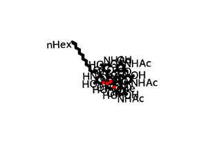 CCCCCC/C=C\CCCCCCCCCC(=O)N[C@@H]1C(O[C@@H]2C(CO)O[C@@H](O[C@@H]3C(CO)OC(O[C@@H]4C(CO)O[C@@H](O[C@@H]5C(COC6OC(C)[C@@H](O)C(O)[C@H]6OC)O[C@@H](O)C(NC(C)=O)C5O)C(NC(C)=O)C4O)=C(NC(C)=O)C3O)C(NC(C)=O)C2O)OC(COC(C)=O)[C@@H](O)C1O